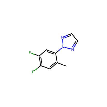 Cc1cc(F)c(F)cc1-n1nccn1